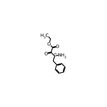 CCOC(=O)C(=O)[C@@H](N)Cc1ccccc1